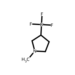 CN1CCC([B-](F)(F)F)C1